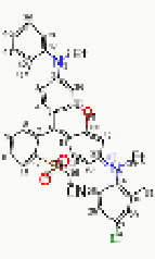 CCN(c1ccc2c(-c3ccccc3S(=O)(=O)CC#N)c3cc/c(=[N+](/CC)c4ccc(Cl)cc4C)cc-3oc2c1)c1ccccc1C